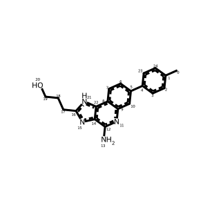 Cc1ccc(-c2ccc3c(c2)nc(N)c2nc(CCCO)[nH]c23)cc1